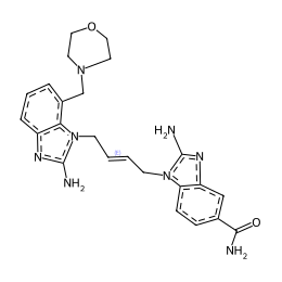 NC(=O)c1ccc2c(c1)nc(N)n2C/C=C/Cn1c(N)nc2cccc(CN3CCOCC3)c21